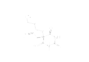 C=CCC1(CCCCCCCCCCCCC)C(=O)NC(=S)NC1=O